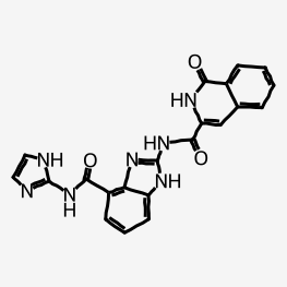 O=C(Nc1nc2c(C(=O)Nc3ncc[nH]3)cccc2[nH]1)c1cc2ccccc2c(=O)[nH]1